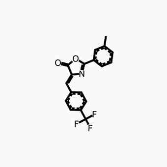 Cc1cccc(C2=N/C(=C\c3ccc(C(F)(F)F)cc3)C(=O)O2)c1